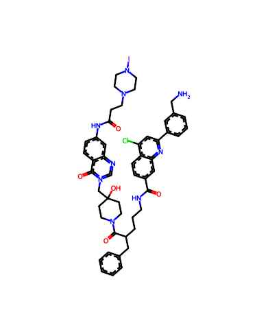 NCc1cccc(-c2cc(Cl)c3ccc(C(=O)NCCCC(Cc4ccccc4)C(=O)N4CCC(O)(Cn5cnc6cc(NC(=O)CCN7CCN(I)CC7)ccc6c5=O)CC4)cc3n2)c1